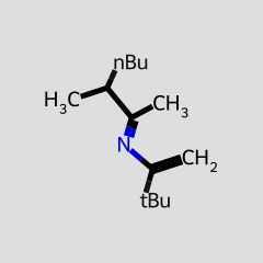 C=C(/N=C(\C)C(C)CCCC)C(C)(C)C